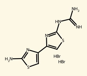 Br.Br.N=C(N)Nc1nc(-c2csc(N)n2)cs1